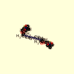 CC1=C(/C=C/C(C)=C/C=C/C(C)=C/C=C/C=C(C)/C=C/C=C(C)/C=C/C2=C(C)C(=O)C(Oc3ccc(CC4SC(=O)N(C(c5ccccc5)(c5ccccc5)C5C=CC=CC5)C4=O)cc3)CC2(C)C)C(C)(C)CC(Oc2ccc(CC3SC(=O)N(C(c4ccccc4)(c4ccccc4)c4ccccc4)C3=O)cc2)C1=O